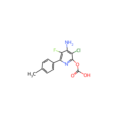 Cc1ccc(-c2nc(OC(=O)O)c(Cl)c(N)c2F)cc1